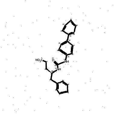 O=C(O)CC[C@H](Cc1ccccc1)NC(=O)Nc1ccc(-c2ccccc2)cc1